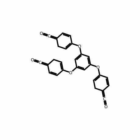 O=C=C1C=CC(Oc2cc(OC3=CCC(=C=O)C=C3)cc(OC3=CCC(=C=O)C=C3)c2)=CC1